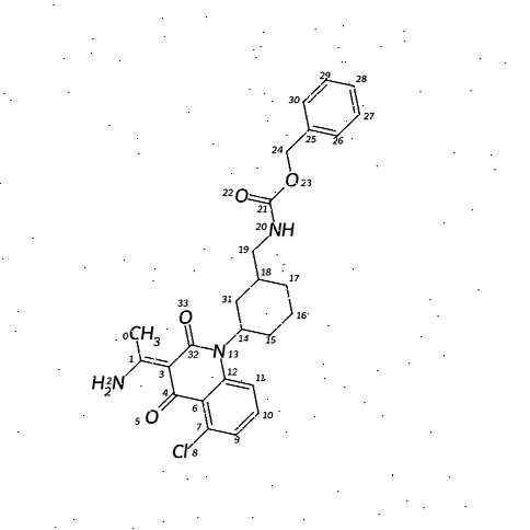 CC(N)=C1C(=O)c2c(Cl)cccc2N(C2CCCC(CNC(=O)OCc3ccccc3)C2)C1=O